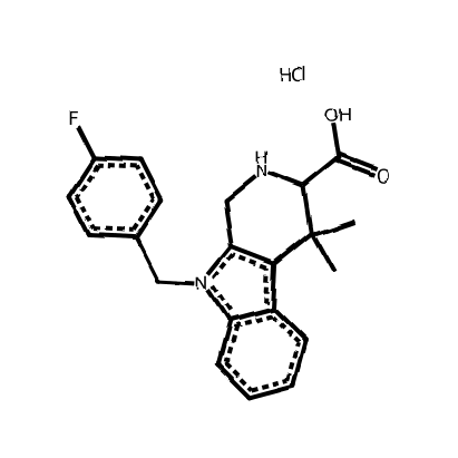 CC1(C)c2c(n(Cc3ccc(F)cc3)c3ccccc23)CNC1C(=O)O.Cl